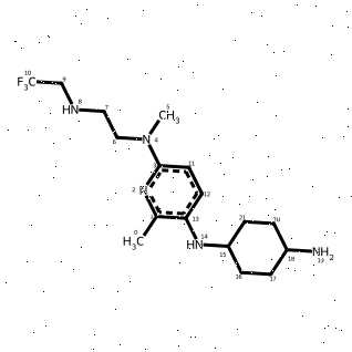 Cc1nc(N(C)CCNCC(F)(F)F)ccc1NC1CCC(N)CC1